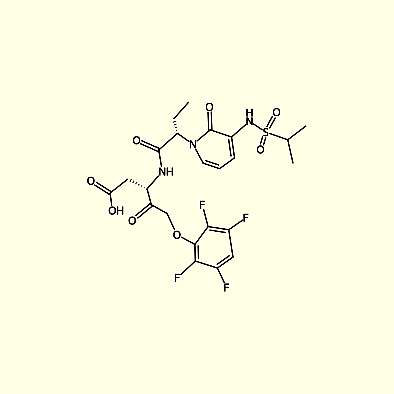 CC[C@@H](C(=O)N[C@@H](CC(=O)O)C(=O)COc1c(F)c(F)cc(F)c1F)n1cccc(NS(=O)(=O)C(C)C)c1=O